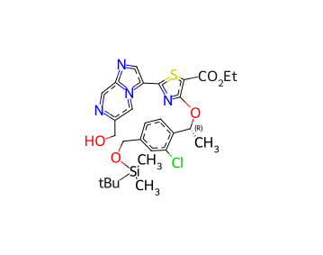 CCOC(=O)c1sc(-c2cnc3cnc(CO)cn23)nc1O[C@H](C)c1ccc(CO[Si](C)(C)C(C)(C)C)cc1Cl